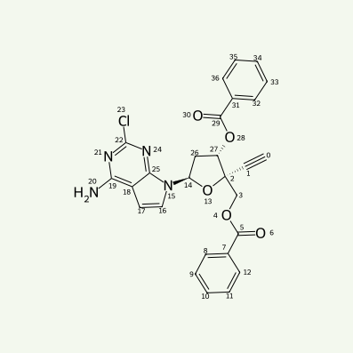 C#C[C@]1(COC(=O)c2ccccc2)O[C@@H](n2ccc3c(N)nc(Cl)nc32)C[C@@H]1OC(=O)c1ccccc1